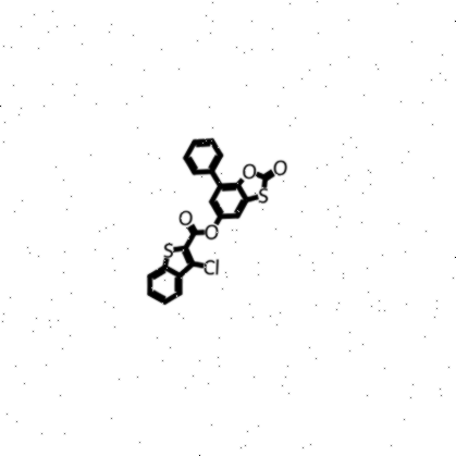 O=C(Oc1cc(-c2ccccc2)c2oc(=O)sc2c1)c1sc2ccccc2c1Cl